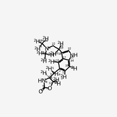 [2H]c1c(C([2H])([2H])[C@]2([2H])NC(=O)OC2([2H])[2H])c([2H])c2c(C([2H])([2H])CN(C([2H])([2H])[2H])C([2H])([2H])[2H])c[nH]c2c1[2H]